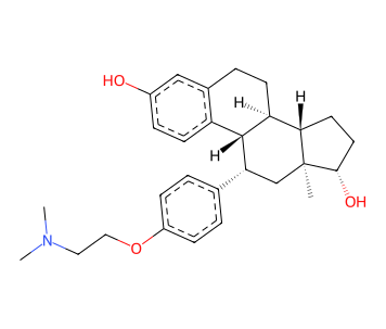 CN(C)CCOc1ccc([C@H]2C[C@]3(C)[C@@H](O)CC[C@H]3[C@@H]3CCc4cc(O)ccc4[C@H]32)cc1